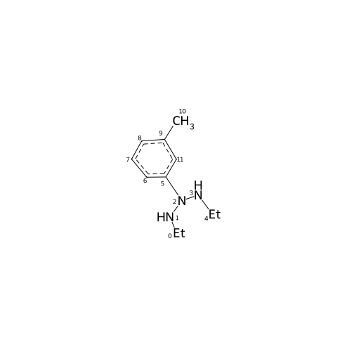 CCNN(NCC)c1cccc(C)c1